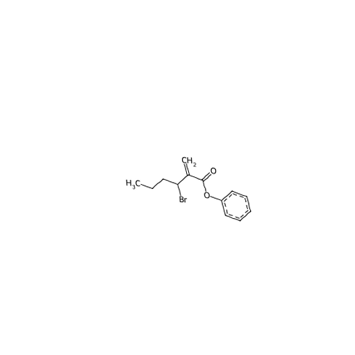 C=C(C(=O)Oc1ccccc1)C(Br)CCC